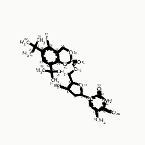 Cc1cn(C2CC([18F])C(COP3(=O)OCc4c(F)c(C(C)(C)C)cc(C(C)(C)C)c4O3)O2)c(=O)[nH]c1=O